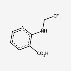 O=C(O)c1cccnc1NCC(F)(F)F